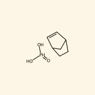 C1=CC2CCC1C2.O=[PH](O)O